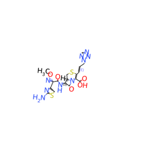 CO/N=C(\C(=O)N[C@@H]1C(=O)N2C(C(=O)O)=C(/C=C/Cn3ncnn3)SC[C@H]12)c1csc(N)n1